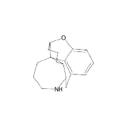 c1cc2c3c(c1)OC1CCCC4C(C2)NCCCC314